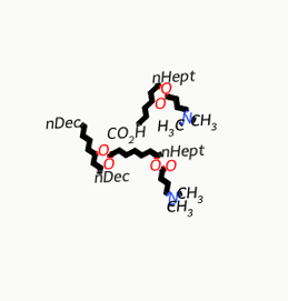 CCCCCCCC(CCCCCC(=O)O)OC(=O)CCCN(C)C.CCCCCCCCCCCCCCC(CCCCCCCCCCCC)OC(=O)CCCCCC(CCCCCCC)OC(=O)CCCN(C)C